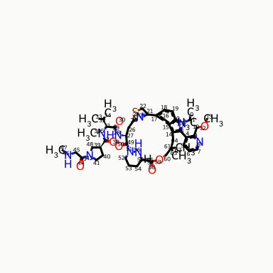 CCn1c(-c2cccnc2[C@H](C)OC)c2c3cc(ccc31)C1CSC(=N1)C[C@H](NC(=O)[C@H](C(C)C)N(C)C(=O)[C@H]1CCN(C(=O)CNC)C1)C(=O)N1CCC[C@H](N1)C(=O)OCC(C)(C)C2